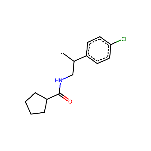 [CH2]C(CNC(=O)C1CCCC1)c1ccc(Cl)cc1